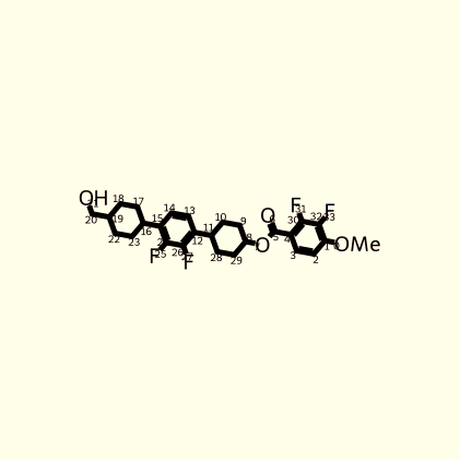 COc1ccc(C(=O)OC2CCC(c3ccc(C4CCC(CO)CC4)c(F)c3F)CC2)c(F)c1F